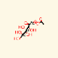 CC(=O)O[O][Au][C](=O)[C@@H](O)[C@@H](O)[C@H](O)[C@H](O)CO